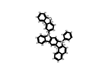 c1ccc(-n2c3cc4c(cc3c3c5ccccc5ccc32)c2ccccc2n4-c2ccc3oc4ccccc4c3c2)cc1